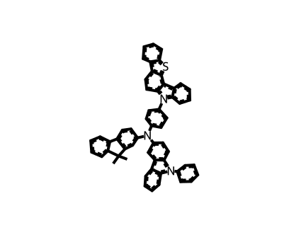 CC1(C)c2ccccc2-c2ccc(N(c3ccc(-n4c5ccccc5c5c6sc7ccccc7c6ccc54)cc3)c3ccc4c(c3)c3ccccc3n4-c3ccccc3)cc21